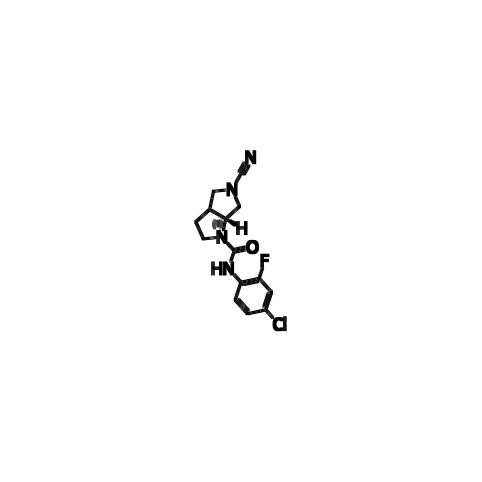 N#CN1CC2CCN(C(=O)Nc3ccc(Cl)cc3F)[C@H]2C1